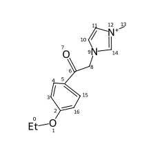 CCOc1ccc(C(=O)Cn2cc[n+](C)c2)cc1